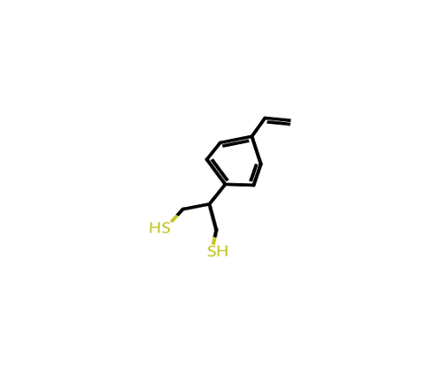 C=Cc1ccc(C(CS)CS)cc1